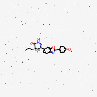 CCC[C@H]1C(=O)NN=C(c2ccc3nc(-c4ccc(OC)cc4)oc3c2)[C@@H]1C